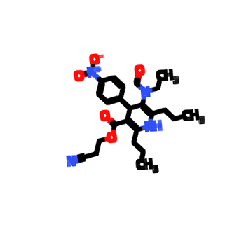 CCCC1=C(C(=O)OCCC#N)C(c2ccc([N+](=O)[O-])cc2)C(N(C=O)CC)=C(CCC)N1